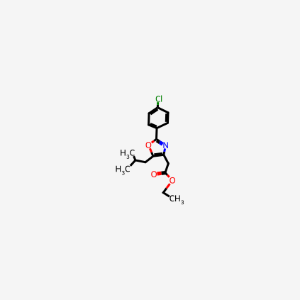 CCOC(=O)Cc1nc(-c2ccc(Cl)cc2)oc1CC(C)C